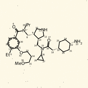 CCc1ccc(C(=O)N(C[C@@H]2CNC[C@H]2CN(C(=O)C[C@H]2CC[C@@H](N)CC2)C2CC2)C(C)C)cc1OCCCOC